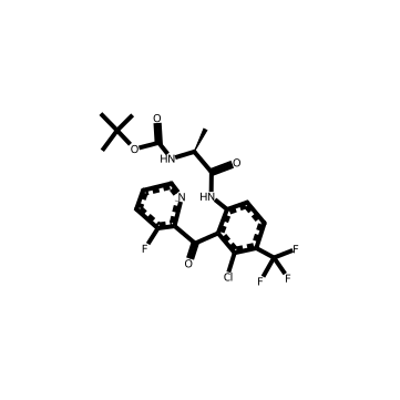 C[C@H](NC(=O)OC(C)(C)C)C(=O)Nc1ccc(C(F)(F)F)c(Cl)c1C(=O)c1ncccc1F